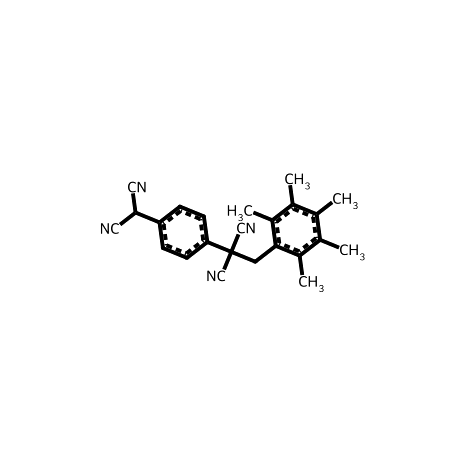 Cc1c(C)c(C)c(CC(C#N)(C#N)c2ccc(C(C#N)C#N)cc2)c(C)c1C